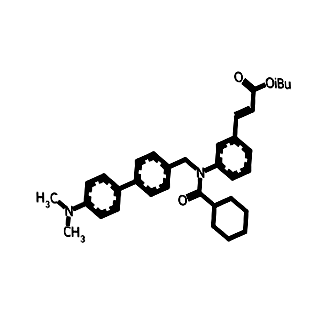 CC(C)COC(=O)/C=C/c1cccc(N(Cc2ccc(-c3ccc(N(C)C)cc3)cc2)C(=O)C2CCCCC2)c1